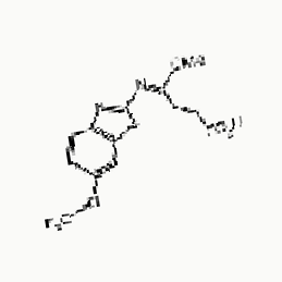 COC(CCC(=O)O)=Nc1nc2ccc(OC(F)(F)F)cc2s1